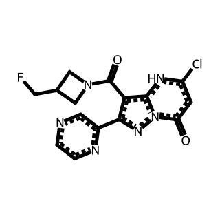 O=C(c1c(-c2cnccn2)nn2c(=O)cc(Cl)[nH]c12)N1CC(CF)C1